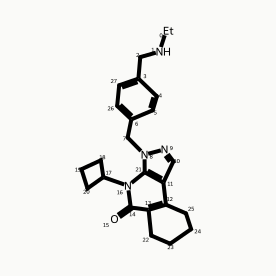 CCNCc1ccc(Cn2ncc3c4c(c(=O)n(C5CCC5)c32)CCCC4)cc1